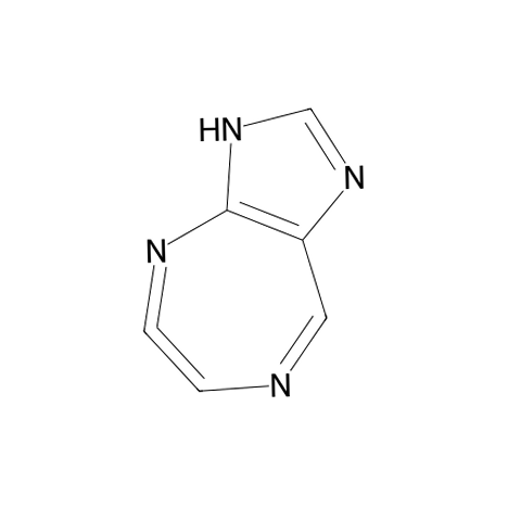 C1=CN=Cc2nc[nH]c2N=1